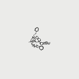 CC(=O)SCC(C)CN(CCc1ccccc1)C(=O)N[C@@H](Cc1ccccc1)C(=O)OC(C)(C)C